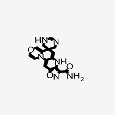 NC(=O)c1noc2c1NC1=CC3(CN=CNC3)C3=COC=CN3C1=C2